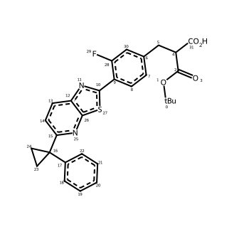 CC(C)(C)OC(=O)C(Cc1ccc(-c2nc3ccc(C4(c5ccccc5)CC4)nc3s2)c(F)c1)C(=O)O